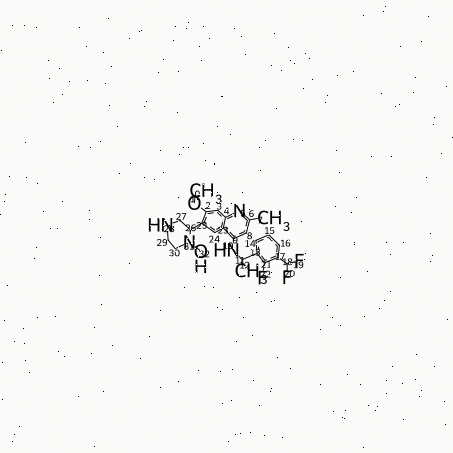 COc1cc2nc(C)cc(NC(C)c3cccc(C(F)F)c3F)c2cc1C1CNCCN1O